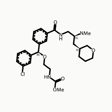 CN[C@H](CNC(=O)c1cccc([C@@H](OCCNC(=O)OC)c2cccc(Cl)c2)c1)C[C@@H]1CCCOC1